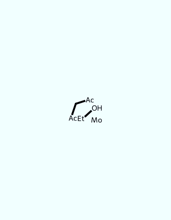 CC(=O)CC(C)=O.CCO.[Mo]